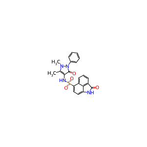 Cc1c(NS(=O)(=O)c2ccc3c4c(cccc24)C(=O)N3)c(=O)n(-c2ccccc2)n1C